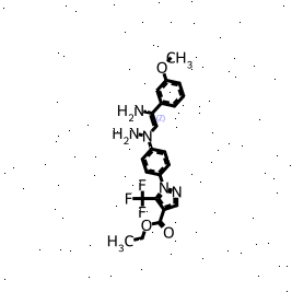 CCOC(=O)c1cnn(-c2ccc(N(N)/C=C(\N)c3cccc(OC)c3)cc2)c1C(F)(F)F